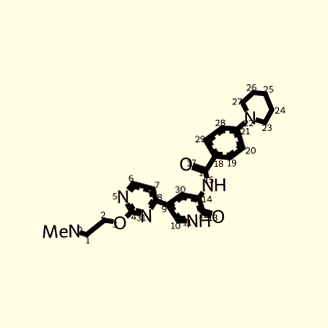 CNCCOc1nccc(-c2c[nH]c(=O)c(NC(=O)c3ccc(N4CCCCC4)cc3)c2)n1